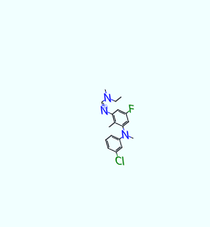 CCN(C)/C=N\c1cc(F)cc(N(C)c2cccc(Cl)c2)c1C